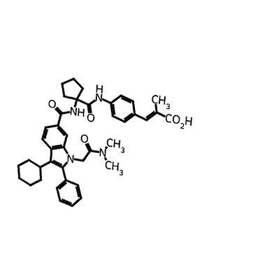 CC(=Cc1ccc(NC(=O)C2(NC(=O)c3ccc4c(C5CCCCC5)c(-c5ccccc5)n(CC(=O)N(C)C)c4c3)CCCC2)cc1)C(=O)O